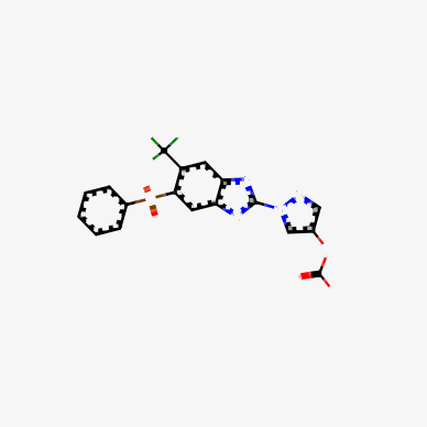 O=C(O)Oc1cnn(-c2nc3cc(S(=O)(=O)c4ccccc4)c(C(F)(F)F)cc3[nH]2)c1